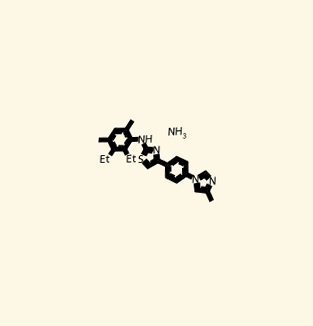 CCc1c(C)cc(C)c(Nc2nc(-c3ccc(-n4cnc(C)c4)cc3)cs2)c1CC.N